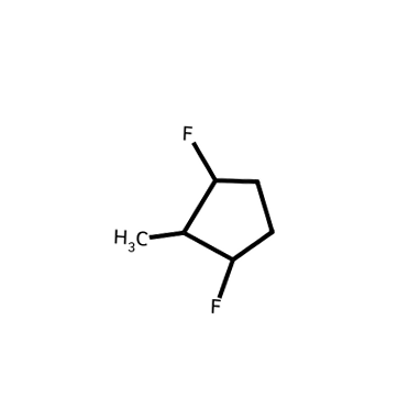 CC1C(F)CCC1F